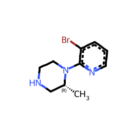 C[C@@H]1CNCCN1c1ncccc1Br